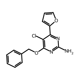 Nc1nc(OCc2ccccc2)c(Cl)c(-c2ccco2)n1